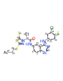 CCC(C(=O)Nc1ccc2ncnc(Nc3ccc(F)c(Cl)c3)c2c1)n1nc(SCCC(C)=O)sc1=S